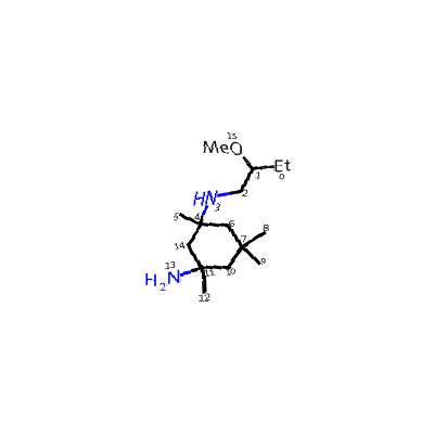 CCC(CNC1(C)CC(C)(C)CC(C)(N)C1)OC